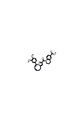 COC(=O)c1ccc2c(c1)CCCN2C(=O)c1cc2n(n1)/C(c1ccc(OC)c(OC)c1)=C\C=C/CC2